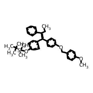 CC/C(=C(\c1ccc(OCc2ccc(OC)cc2)cc1)c1ccc(O[Si](C)(C)C(C)(C)C)cc1)c1ccccc1